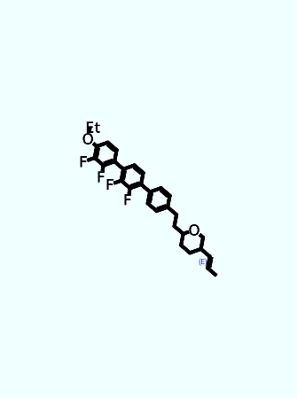 C/C=C/C1CCC(CCc2ccc(-c3ccc(-c4ccc(OCC)c(F)c4F)c(F)c3F)cc2)OC1